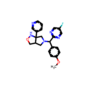 COc1ccc(C(c2ncc(F)cn2)N2CC3CONC3(c3cccnc3)C2)cc1